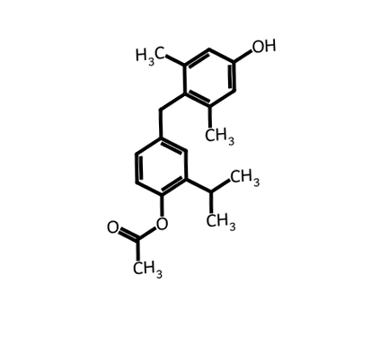 CC(=O)Oc1ccc(Cc2c(C)cc(O)cc2C)cc1C(C)C